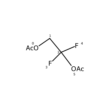 CC(=O)OCC(F)(F)OC(C)=O